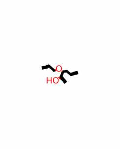 C=CCO[C](CC=C)C(=C)O